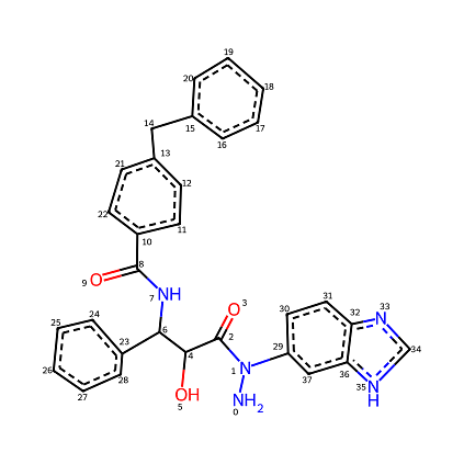 NN(C(=O)C(O)C(NC(=O)c1ccc(Cc2ccccc2)cc1)c1ccccc1)c1ccc2nc[nH]c2c1